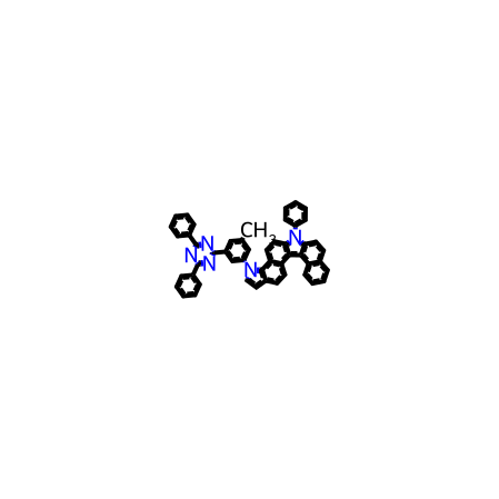 Cc1cc(-c2nc(-c3ccccc3)nc(-c3ccccc3)n2)cc(-n2ccc3ccc4c(ccc5c4c4c6ccccc6ccc4n5-c4ccccc4)c32)c1